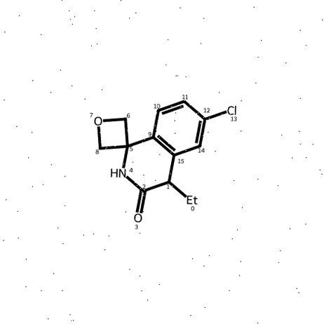 CCC1C(=O)NC2(COC2)c2ccc(Cl)cc21